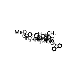 COC(=O)c1ccc(C2=CC[C@]3(C)[C@H]4CC[C@@H]5[C@H]6[C@H](C)CC[C@]6(NC(=O)OCC6c7ccccc7-c7ccccc76)CC[C@@]5(C)[C@]4(C)CC[C@H]3C2(C)C)cc1F